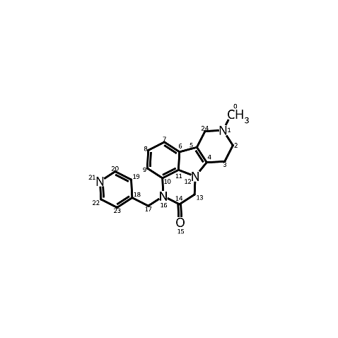 CN1CCc2c(c3cccc4c3n2CC(=O)N4Cc2ccncc2)C1